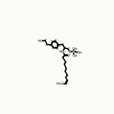 CCCCCCCC/C=C\CCCCCCCC(=O)NC(CO[PH](O)(O)O)Cc1ccc(CCO)cc1